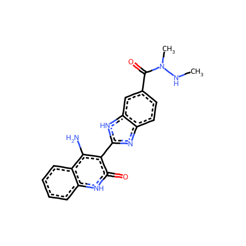 CNN(C)C(=O)c1ccc2nc(-c3c(N)c4ccccc4[nH]c3=O)[nH]c2c1